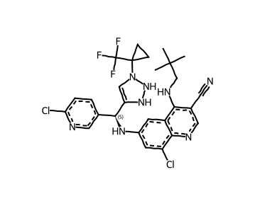 CC(C)(C)CNc1c(C#N)cnc2c(Cl)cc(N[C@H](C3=CN(C4(C(F)(F)F)CC4)NN3)c3ccc(Cl)nc3)cc12